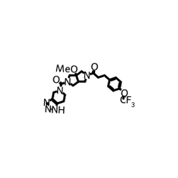 COC12CN(C(=O)CCc3ccc(OC(F)(F)F)cc3)CC1CN(C(=O)N1CCc3[nH]nnc3C1)C2